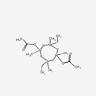 CC[Si]1(C)O[Si](C)(OC(C)=O)O[Si](C)(CC)O[Si](C)(OC(C)=O)O1